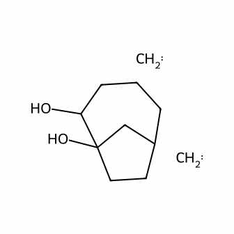 OC1CCCC2CCC1(O)C2.[CH2].[CH2]